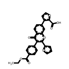 CCOC(=O)c1ccc(-c2c(-c3cccs3)oc3cc(-c4ccsc4C(=O)O)ccc3c2=O)cc1